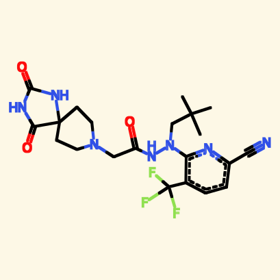 CC(C)(C)CN(NC(=O)CN1CCC2(CC1)NC(=O)NC2=O)c1nc(C#N)ccc1C(F)(F)F